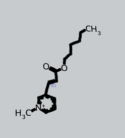 CCCCCCOC(=O)/C=C/c1ccc[n+](C)c1